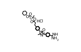 Cc1nn(-c2ccc(C(=N)N)cc2)c(=O)n1-c1ccc(CCC(=O)OC(C)OC(=O)OC2CCCCC2)cc1.Cl